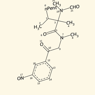 CCCCCC(C)C(C)(C(=O)N(C)CC(=O)c1cccc(N=O)c1)N(C)C=O